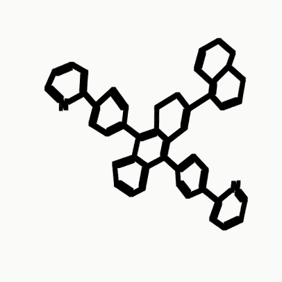 C1=CC2=C(C3=Cc4c(c(-c5ccc(-c6ccccn6)cc5)c5ccccc5c4-c4ccc(-c5ccccn5)cc4)CC3)C=CCC2CC1